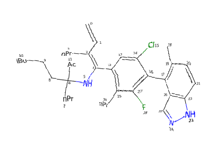 C=C/C(CCC)=C(/NC(CCC)(CCC(C)CC)C(C)=O)c1cc(Cl)c(-c2c(C)ccc3[nH]ncc23)c(F)c1CCC